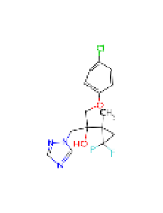 CC1(C(O)(COc2ccc(Cl)cc2)Cn2cncn2)CC1(F)F